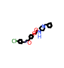 O=C(COc1ccc(C(=O)/C=C/c2ccc(Cl)cc2)cc1)NC1CCN(Cc2ccccc2)CC1